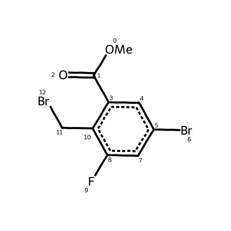 COC(=O)c1cc(Br)cc(F)c1CBr